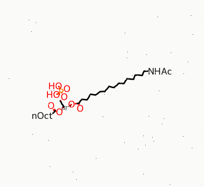 CCCCCCCCC(=O)O[C@@H](COC(=O)CCCCCCCCCCCCCCCNC(C)=O)COP(=O)(O)O